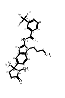 CCCCn1c(NC(=O)c2cccc(C(F)(F)F)c2)nc2cc(C3(C)CCC(=O)N3C)ccc21